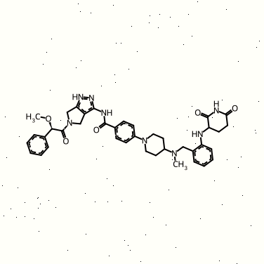 CO[C@@H](C(=O)N1Cc2[nH]nc(NC(=O)c3ccc(N4CCC(N(C)Cc5ccccc5NC5CCC(=O)NC5=O)CC4)cc3)c2C1)c1ccccc1